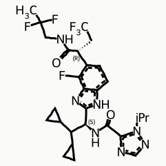 CC(C)n1ncnc1C(=O)N[C@H](c1nc2c(F)c([C@@H](CC(F)(F)F)C(=O)NCC(C)(F)F)ccc2[nH]1)C(C1CC1)C1CC1